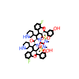 Cc1c(F)cccc1C1=C(C2CCCNC2)[C@H](C(=O)[C@H]2C(C3CCCNC3)=C(c3cccc(F)c3C)[C@H](C(=O)c3cccc(O)c3)CN2CCN(C)S(C)(=O)=O)N(CCN(C)S(C)(=O)=O)C[C@H]1C(=O)c1cccc(O)c1